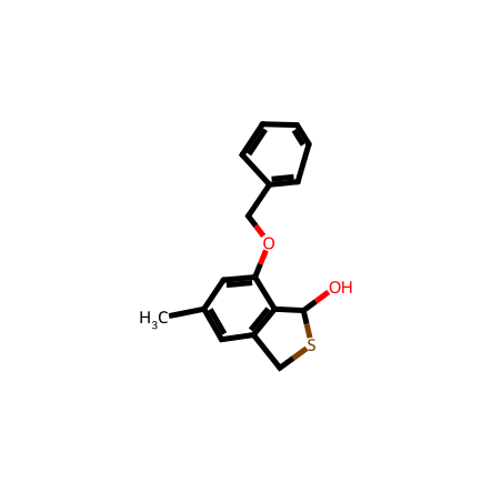 Cc1cc2c(c(OCc3ccccc3)c1)C(O)SC2